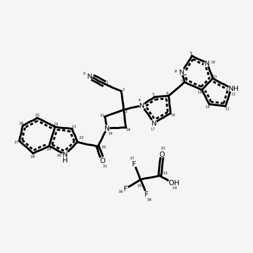 N#CCC1(n2cc(-c3ncnc4[nH]ccc34)cn2)CN(C(=O)c2cc3ccccc3[nH]2)C1.O=C(O)C(F)(F)F